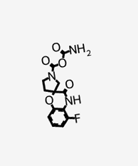 NC(=O)OC(=O)N1CCC2(C1)Oc1cccc(F)c1NC2=O